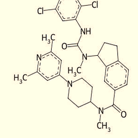 Cc1cc(N2CCC(N(C)C(=O)c3ccc4c(c3)C(N(C)C(=O)Nc3cc(Cl)ccc3Cl)CC4)CC2)cc(C)n1